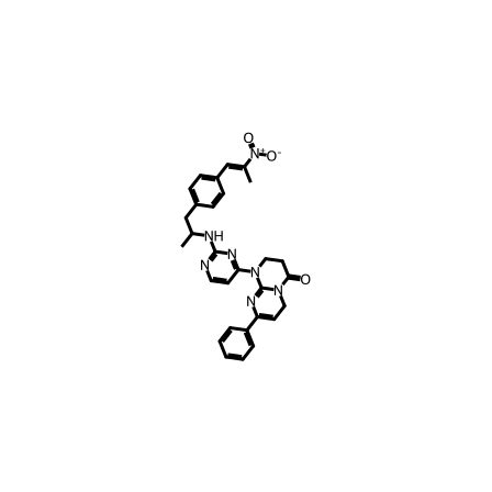 CC(=Cc1ccc(CC(C)Nc2nccc(N3CCC(=O)N4CC=C(c5ccccc5)N=C43)n2)cc1)[N+](=O)[O-]